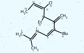 C=C(/C(=C\N=C(C)C)C(C)(C)C)C(CC)/C(Cl)=C\C